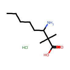 CCCCCC(N)C(C)(C)C(=O)O.Cl